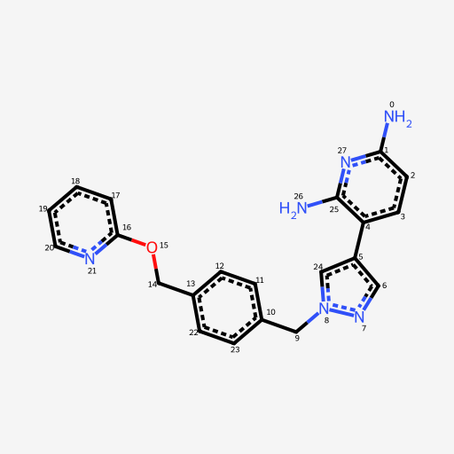 Nc1ccc(-c2cnn(Cc3ccc(COc4ccccn4)cc3)c2)c(N)n1